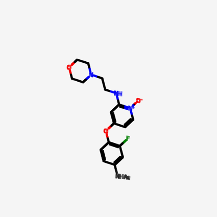 CC(=O)Nc1ccc(Oc2cc[n+]([O-])c(NCCN3CCOCC3)c2)c(F)c1